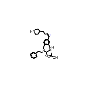 O=C(O)C[C@H]1Nc2cc(/C=C\CCC3CCNCC3)ccc2CN(CCc2ccccc2)C1=O